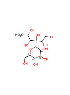 O=C(O)C(O)C(O)C(O)(C(O)CO)C1O[C@H](CO)[C@@H](O)[C@H](O)[C@H]1O